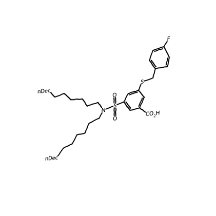 CCCCCCCCCCCCCCCCN(CCCCCCCCCCCCCCCC)S(=O)(=O)c1cc(SCc2ccc(F)cc2)cc(C(=O)O)c1